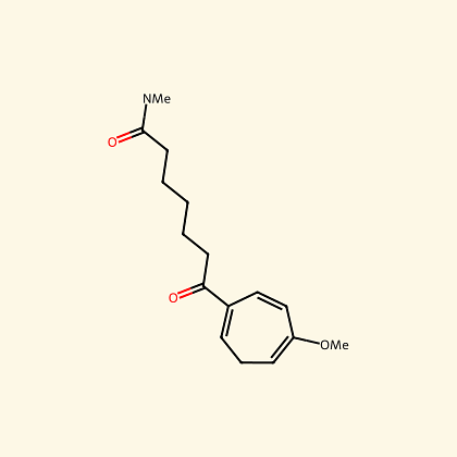 CNC(=O)CCCCCC(=O)C1=CCC=C(OC)C=C1